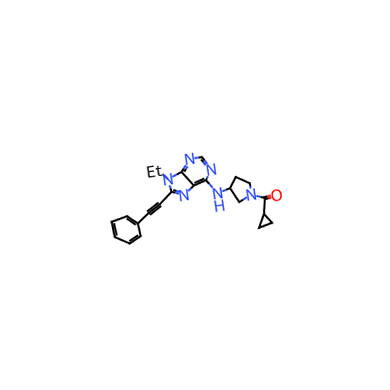 CCn1c(C#Cc2ccccc2)nc2c(NC3CCN(C(=O)C4CC4)C3)ncnc21